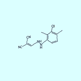 Cc1ccc(NNC=C(C#N)C#N)c(C)c1Cl